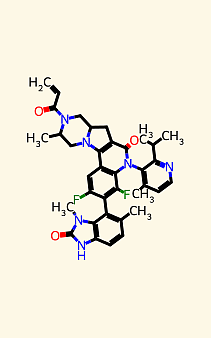 C=CC(=O)N1CC2Cc3c(c4cc(F)c(-c5c(C)ccc6[nH]c(=O)n(C)c56)c(F)c4n(-c4c(C)ccnc4C(C)C)c3=O)N2CC1C